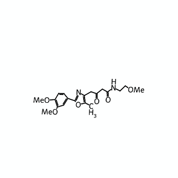 COCCNC(=O)CC(=O)Cc1nc(-c2ccc(OC)c(OC)c2)oc1C